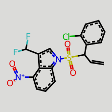 C=CC(c1ccccc1Cl)S(=O)(=O)n1cc(C(F)F)c2c([N+](=O)[O-])cccc21